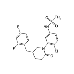 CS(=O)(=O)Nc1ccc(Cl)c(N2CC(Cc3ccc(F)cc3F)CCC2=O)c1